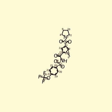 Cn1cc(S(=O)(=O)N2CCCC2)cc1C(=O)NS(=O)(=O)c1ccc(OC(F)(F)F)cc1